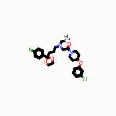 CCN(CCCC1(c2ccc(F)cc2)OCCO1)CC(=O)N1CCC(Oc2cccc(Cl)c2)CC1